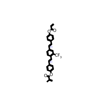 C=CC(=O)Oc1ccc(/C=C/c2ccc(/C=C/c3ccc(OC(=O)C(=C)C)cc3)c(C(F)(F)F)c2)cc1